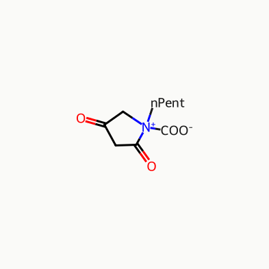 CCCCC[N+]1(C(=O)[O-])CC(=O)CC1=O